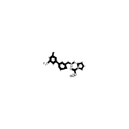 Cc1cc(-c2cccc(CNC[C@@H]3CCCN3C(=O)OC(C)(C)C)c2)cc(C(F)(F)F)c1